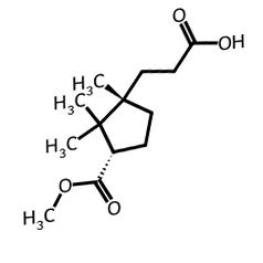 COC(=O)[C@H]1CC[C@@](C)(CCC(=O)O)C1(C)C